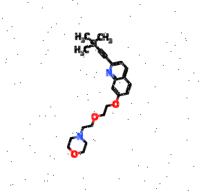 C[Si](C)(C)C#Cc1ccc2ccc(OCCOCCN3CCOCC3)cc2n1